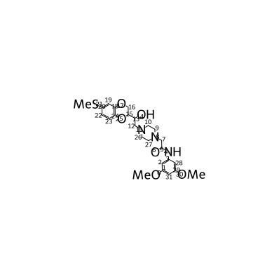 COc1cc(NC(=O)CN2CCN(CC(O)C3COc4cc(SC)ccc4O3)CC2)cc(OC)c1